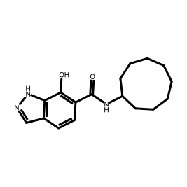 O=C(NC1CCCCCCCC1)c1ccc2cn[nH]c2c1O